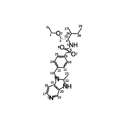 CCOC[C@@H](NS(=O)(=O)c1ccc(CN2c3ccncc3NC2C)cc1)C(C)CC